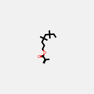 C=C(C)C(=O)OCCCC(C)(C)CC(C)(C)CC